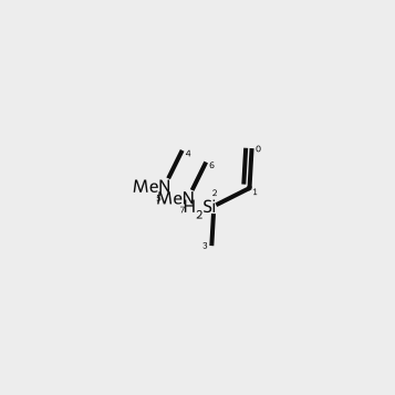 C=C[SiH2]C.CNC.CNC